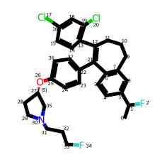 CC(F)c1ccc2c(c1)CCCC(c1ccc(Cl)cc1Cl)=C2c1ccc(O[C@H]2CCN(CCCF)C2)cc1